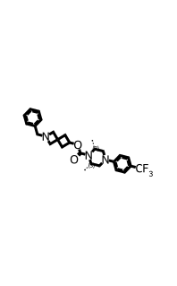 C[C@@H]1CN(c2ccc(C(F)(F)F)cc2)C[C@H](C)N1C(=O)OC1CC2(C1)CN(Cc1ccccc1)C2